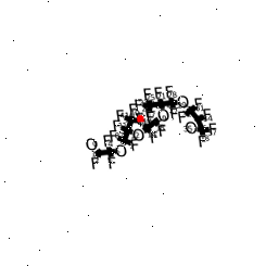 O=C(F)C(F)(F)OC(F)(F)C(F)(OC(F)(F)C(F)(F)OC(F)(C(F)(F)F)C(F)(F)OC(F)(F)C1(F)OC1(F)F)C(F)(F)F